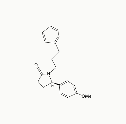 COc1ccc([C@H]2CCC(=O)N2CCCc2ccccc2)cc1